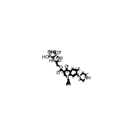 O=C(COC(=O)c1cn(C2CC2)c2cc(N3CCNCC3)c(F)cc2c1=O)NC(P(O)O)P(=O)(O)O